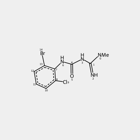 CNC(=N)NC(=O)Nc1c(Cl)cccc1Br